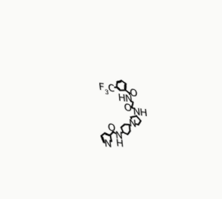 O=C(CNC(=O)c1cccc(C(F)(F)F)c1)N[C@@H]1CCN(C2CCC(NC(=O)c3cccnc3)CC2)C1